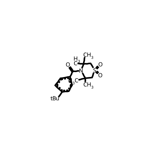 CC(C)(C)c1ccc(C(=O)N2C(C)(C)CS(=O)(=O)CC2(C)C)cc1